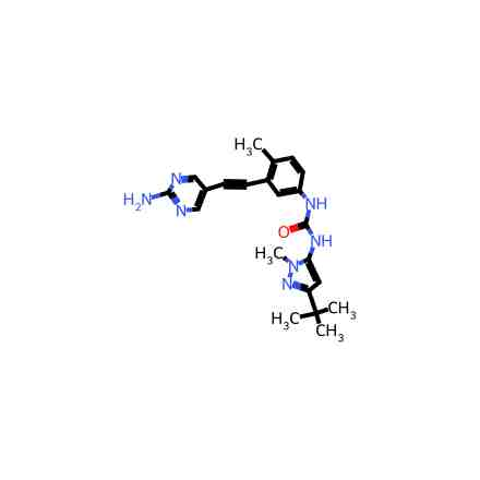 Cc1ccc(NC(=O)Nc2cc(C(C)(C)C)nn2C)cc1C#Cc1cnc(N)nc1